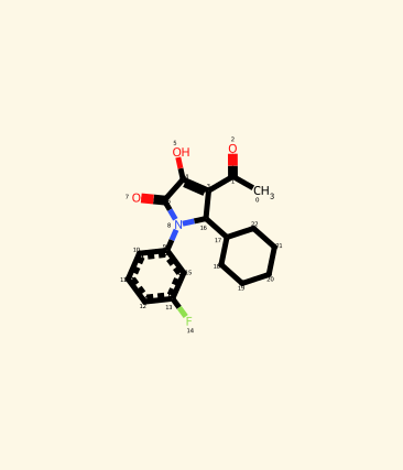 CC(=O)C1=C(O)C(=O)N(c2cccc(F)c2)C1C1CCCCC1